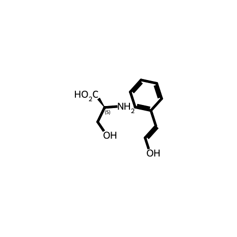 N[C@@H](CO)C(=O)O.OC=Cc1ccccc1